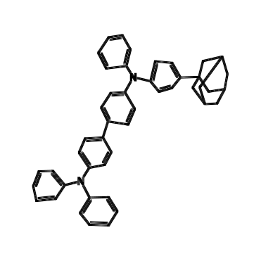 c1ccc(N(c2ccccc2)c2ccc(-c3ccc(N(c4ccccc4)c4ccc(C56CC7CC(CC(C7)C5)C6)cc4)cc3)cc2)cc1